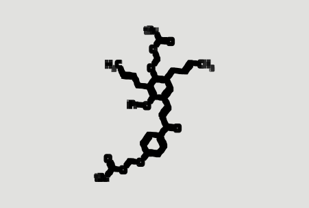 CC=CCc1cc(C=CC(=O)c2ccc(OCOC(=O)C(C)(C)C)cc2)c(OC(C)C)c(CC=CC)c1OCOC(=O)C(C)(C)C